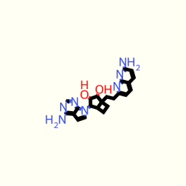 Nc1ccc2ccc(CCC34CCC3C(n3ccc5c(N)ncnc53)C(O)C4O)nc2n1